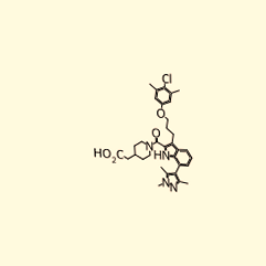 Cc1cc(OCCCc2c(C(=O)N3CCC(CC(=O)O)CC3)[nH]c3c(-c4c(C)nn(C)c4C)cccc23)cc(C)c1Cl